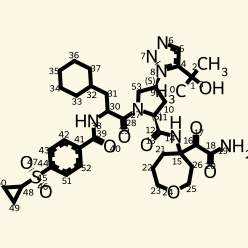 CC(C)(O)c1cnnn1[C@H]1C[C@@H](C(=O)NC2(C(=O)C(N)=O)CCCOCC2)N(C(=O)C(CC2CCCCC2)NC(=O)c2ccc(S(=O)(=O)C3CC3)cc2)C1